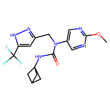 COc1ncc(N(Cc2cc(C(F)(F)F)[nH]n2)C(=O)NC23CC(C2)C3)cn1